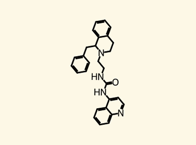 O=C(NCCN1CCc2ccccc2C1Cc1ccccc1)Nc1ccnc2ccccc12